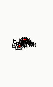 C1=NCCO1.CC(=O)O.CC(=O)O.CC(=O)O.CC(=O)O.CC(=O)O.CC(=O)O.N[C@@H]1[C@@H](O)[C@H](O[C@@H]2O[C@H](CO)[C@@H](O)[C@H](O)[C@H]2N)[C@@H](CO)O[C@H]1O